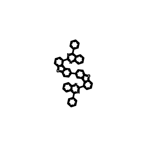 c1ccc(-c2nc(-c3cccc4oc5ccc(-c6ccc7oc8cccc(-c9nc(-c%10ccccc%10)c%10ccccc%10n9)c8c7c6)cc5c34)nc3ccccc23)cc1